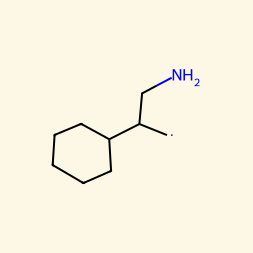 [CH2]C(CN)C1CCCCC1